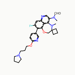 CN(C=O)c1cnc2cc(F)c(-c3ccc(OCCCN4CCCC4)nc3)c3c2c1N(C)C1(CCC1)CO3